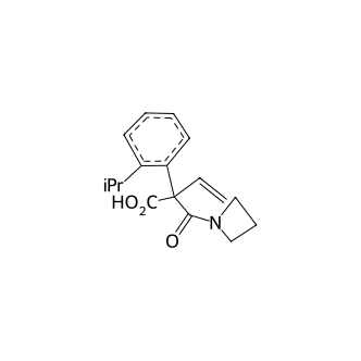 C=CC(C(=O)O)(C(=O)N1CCC1)c1ccccc1C(C)C